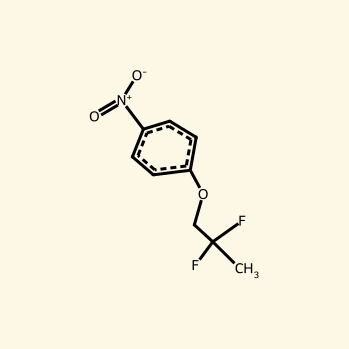 CC(F)(F)COc1ccc([N+](=O)[O-])cc1